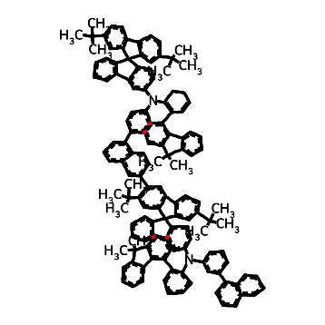 CC(C)(C)c1ccc2c(c1)C1(c3ccccc3-c3cc(N(C4=C(c5cccc6c5-c5ccccc5C6(C)C)C=CCC4)c4ccc(-c5cccc6cc(-c7cc8c(cc7C(C)(C)C)C7(c9ccccc9-c9cc(N(c%10cccc(-c%11cccc%12ccccc%11%12)c%10)c%10ccccc%10-c%10cccc%11c%10-c%10ccccc%10C%11(C)C)ccc97)c7cc(C(C)(C)C)ccc7-8)ccc56)cc4)ccc31)c1cc(C(C)(C)C)ccc1-2